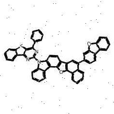 c1ccc(-c2nc(-n3c4ccccc4c4c5oc6c7ccccc7c(-c7ccc8c(c7)oc7ccccc78)cc6c5ccc43)nc3c2sc2ccccc23)cc1